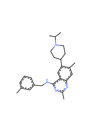 Cc1cccc(CNc2nc(C)nc3cc(C)c(C4CCN(C(C)C)CC4)cc23)c1